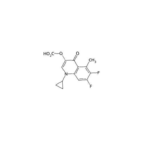 Cc1c(F)c(F)cc2c1c(=O)c(OC(=O)O)cn2C1CC1